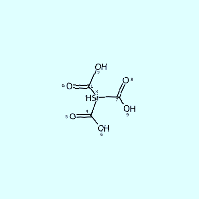 O=C(O)[SiH](C(=O)O)C(=O)O